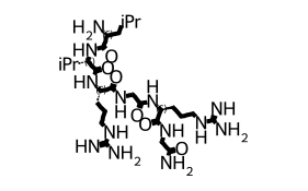 CC(C)C[C@H](N)C(=O)N[C@H](C(=O)N[C@@H](CCCNC(=N)N)C(=O)NCC(=O)N[C@@H](CCCNC(=N)N)C(=O)NCC(N)=O)C(C)C